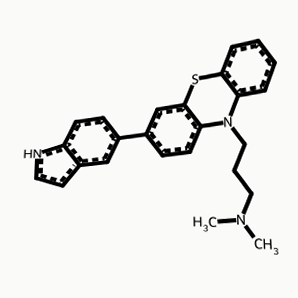 CN(C)CCCN1c2ccccc2Sc2cc(-c3ccc4[nH]ccc4c3)ccc21